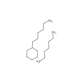 CCCCCCC1CCCCC1.CCCCCCP